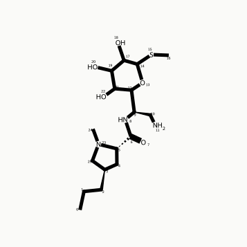 CCC[C@@H]1C[C@@H](C(=O)N[C@H](CN)C2OC(SC)C(O)C(O)C2O)N(C)C1